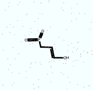 O=P(=O)CC=CO